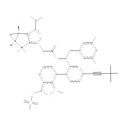 Cn1nc(NS(N)(=O)=O)c2cccc(-c3ccc(C#CC(C)(C)O)nc3C(Cc3cc(F)cc(F)c3)NC(=O)Cn3nc(C(F)F)c4c3C(F)(F)[C@@H]3C[C@H]43)c21